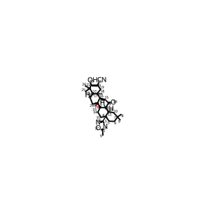 Cc1nc([C@]23CCC(C)(C)C[C@H]2[C@H]2C(=O)C=C4[C@@]5(C)CC(C#N)=C(O)C(C)(C)[C@@H]5CC[C@@]4(C)[C@]2(C)CC3)no1